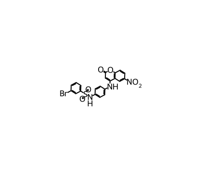 O=c1cc(Nc2ccc(NS(=O)(=O)c3cccc(Br)c3)cc2)c2cc([N+](=O)[O-])ccc2o1